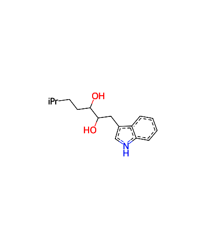 CC(C)CCC(O)C(O)Cc1c[nH]c2ccccc12